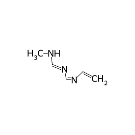 C=C/N=C\N=C\NC